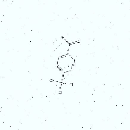 O=C(F)c1ccc(C(Cl)(Cl)Cl)cc1